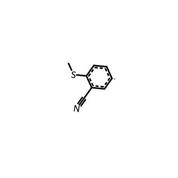 CSc1cc[c]cc1C#N